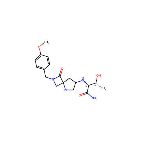 COc1ccc(CN2CC3(CC(N[C@H](C(N)=O)[C@@H](C)O)CN3)C2=O)cc1